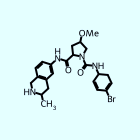 COC1CC(C(=O)Nc2ccc3c(c2)CC(C)NC3)N(C(=O)NC2C=CC(Br)=CC2)C1